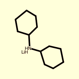 C1CCC(NC2CCCCC2)CC1.[LiH]